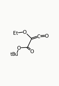 CCOC(=C=O)C(=O)OC(C)(C)C